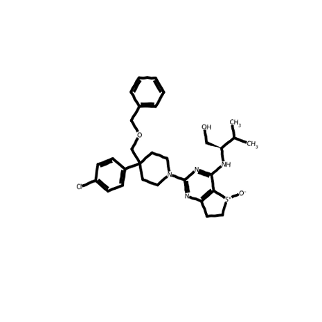 CC(C)[C@H](CO)Nc1nc(N2CCC(COCc3ccccc3)(c3ccc(Cl)cc3)CC2)nc2c1[S+]([O-])CC2